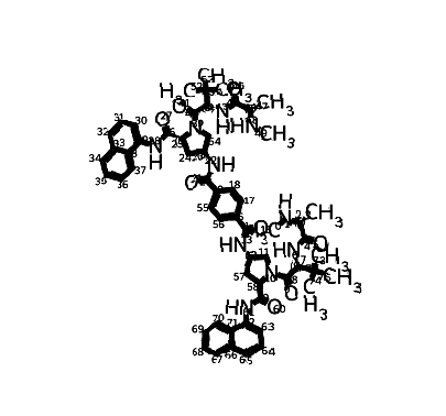 CN[C@@H](C)C(=O)N[C@H](C(=O)N1C[C@@H](NC(=O)c2ccc(C(=O)N[C@H]3C[C@@H](C(=O)Nc4cccc5ccccc45)N(C(=O)[C@@H](NC(=O)[C@H](C)NC)C(C)(C)C)C3)cc2)CC1C(=O)Nc1cccc2ccccc12)C(C)(C)C